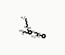 CCCCCCC(=O)NCc1cc(OCCc2nc(-c3ccccc3)oc2C)ccc1CCC(=O)O